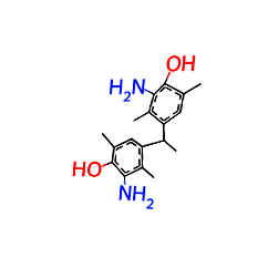 Cc1cc(C(C)c2cc(C)c(O)c(N)c2C)c(C)c(N)c1O